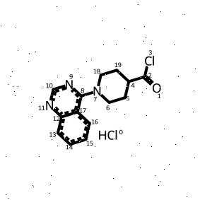 Cl.O=C(Cl)C1CCN(c2ncnc3ccccc23)CC1